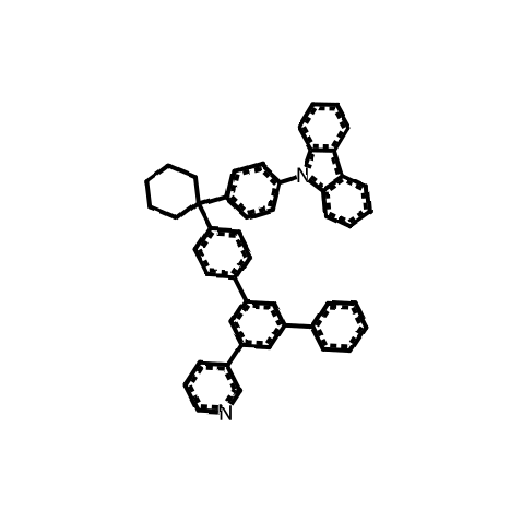 c1ccc(-c2cc(-c3ccc(C4(c5ccc(-n6c7ccccc7c7ccccc76)cc5)CCCCC4)cc3)cc(-c3cccnc3)c2)cc1